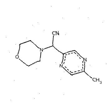 Cc1cnc(C(C#N)N2CCOCC2)cn1